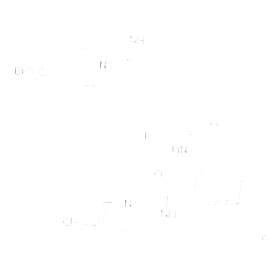 C#Cc1ccc(NC(=O)c2ccc(C(=N)N3CCC(C(=O)OCC)CC3)cc2F)c(C(=O)Nc2ccc(Cl)cn2)c1